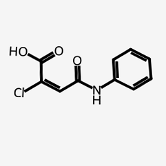 O=C(/C=C(/Cl)C(=O)O)Nc1ccccc1